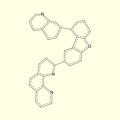 c1cnc2cc(-c3cccc4oc5ccc(-c6ccc7ccc8cccnc8c7n6)cc5c34)ccc2c1